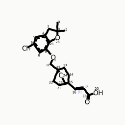 CC1(C)Cc2cc(Cl)cc(OCC34CCC(/C=C/C(=O)O)(CC3)CC4)c2O1